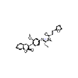 COc1cc(/N=C(\SC)N(C)C(=O)/C=C/c2ccco2)ccc1-c1cc2ccccc2oc1=O